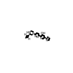 Oc1cc(-n2nccn2)cnc1-c1ccc(N2CCN[C@@H](C3[C@H]4C[C@@H]34)C2)nn1